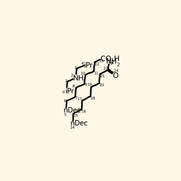 CC(C)CNCC(C)C.CCCCCCCCCCCCCCCCCC(=O)O.CCCCCCCCCCCCCCCCCC(N)=O